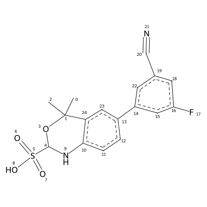 CC1(C)OC(S(=O)(=O)O)Nc2ccc(-c3cc(F)cc(C#N)c3)cc21